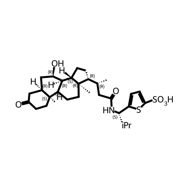 CC(C)[C@H](NC(=O)C[C@@H](C)[C@H]1CC[C@H]2[C@@H]3[C@H](O)C[C@@H]4CC(=O)CC[C@]4(C)[C@H]3CC[C@]12C)c1ccc(S(=O)(=O)O)s1